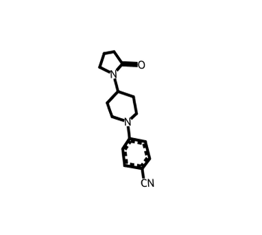 N#Cc1ccc(N2CCC(N3CCCC3=O)CC2)cc1